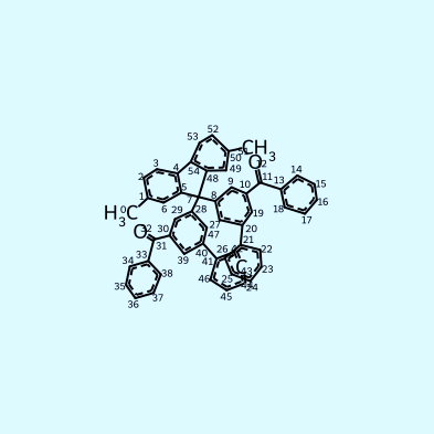 Cc1ccc2c(c1)C(c1cc(C(=O)c3ccccc3)cc(-c3ccccc3)c1)(c1cc(C(=O)c3ccccc3)cc(-c3ccccc3)c1)c1cc(C)ccc1-2